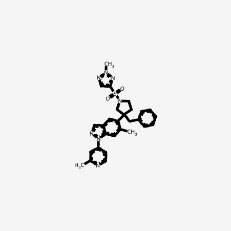 Cc1cc(-n2ncc3cc(C4(Cc5ccccc5)CCN(S(=O)(=O)c5cnn(C)n5)C4)c(C)cc32)ccn1